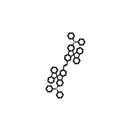 C(=C\c1ccc2c(c1)C1(c3ccccc3-c3ccccc31)c1cc(N(c3ccccc3)c3ccccc3)ccc1-2)/c1ccc2c(c1)C1(c3ccccc3-c3ccccc31)c1cc(N(c3ccccc3)c3ccccc3)ccc1-2